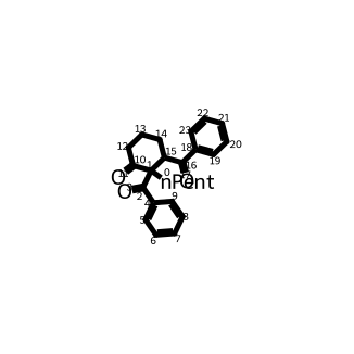 CCCCCC1(C(=O)c2ccccc2)C(=O)CCCC1C(=O)c1ccccc1